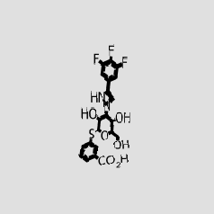 O=C(O)c1cccc(S[C@H]2OC(CO)[C@H](O)C(n3cc(-c4cc(F)c(F)c(F)c4)[nH]3)C2O)c1